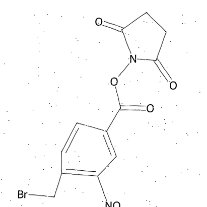 O=C(ON1C(=O)CCC1=O)c1ccc(CBr)c([N+](=O)[O-])c1